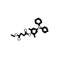 CCOC(=O)CCC(=O)Oc1c(C)cc([S+](c2ccccc2)c2ccccc2)cc1C